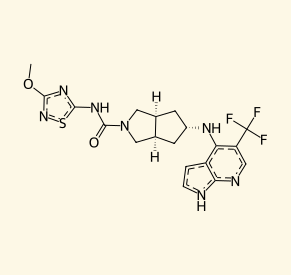 COc1nsc(NC(=O)N2C[C@H]3C[C@H](Nc4c(C(F)(F)F)cnc5[nH]ccc45)C[C@H]3C2)n1